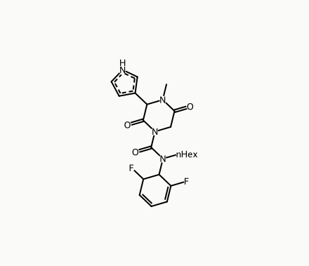 CCCCCCN(C(=O)N1CC(=O)N(C)C(c2cc[nH]c2)C1=O)C1C(F)=CC=CC1F